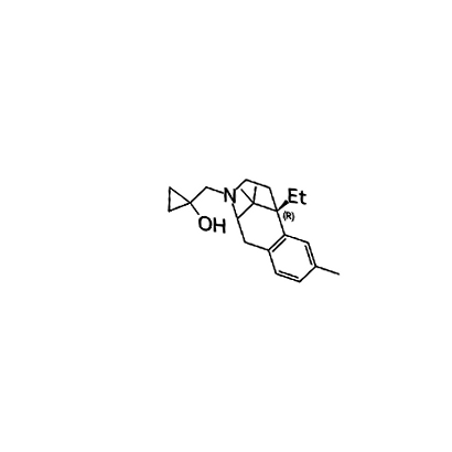 CC[C@@]12CCN(CC3(O)CC3)C(Cc3ccc(C)cc31)C2(C)C